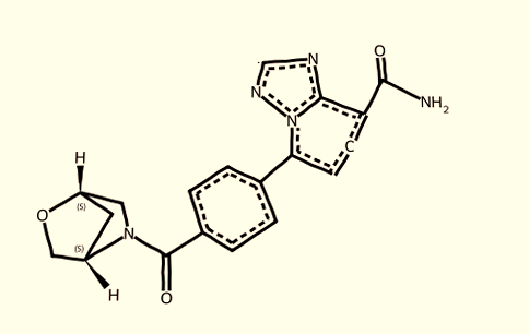 NC(=O)c1ccc(-c2ccc(C(=O)N3C[C@@H]4C[C@H]3CO4)cc2)n2n[c]nc12